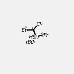 CCC(Cl)[SiH](C(C)C)C(C)(C)C